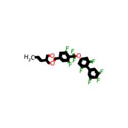 C/C=C/C1COC(c2cc(F)c(C(F)(F)Oc3cc(F)c(-c4cc(F)c(F)c(F)c4)c(F)c3)c(F)c2)OC1